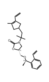 C=CC1=C(C)CC(CC(C)(C)N2C[C@H](CO[C@H](C)c3ccccc3C=C)OC2=O)C1